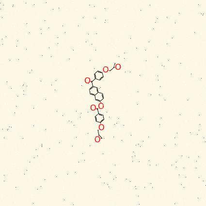 O=C(Oc1ccc2cc(C(=O)c3ccc(OCC4CO4)cc3)ccc2c1)c1ccc(OCC2CO2)cc1